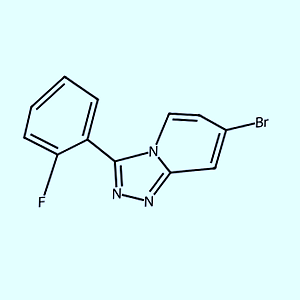 Fc1ccccc1-c1nnc2cc(Br)ccn12